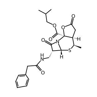 CC(C)COC(=O)[C@]12OC(=O)C[C@H]1[C@@H](C)S[C@@H]1[C@H](CNC(=O)Cc3ccccc3)C(=O)N12